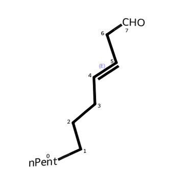 CCCCCCCC/C=C/CC=O